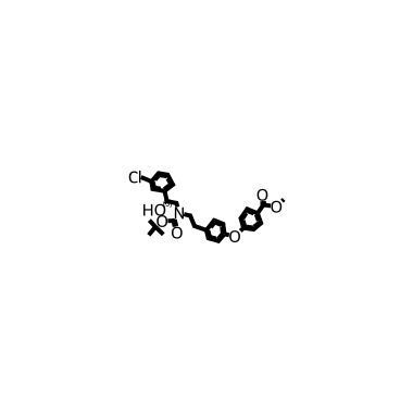 COC(=O)c1ccc(Oc2ccc(CCN(C[C@@H](O)c3cccc(Cl)c3)C(=O)OC(C)(C)C)cc2)cc1